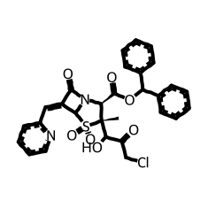 C[C@]1(C(O)C(=O)CCl)[C@H](C(=O)OC(c2ccccc2)c2ccccc2)N2C(=O)/C(=C/c3ccccn3)C2S1(=O)=O